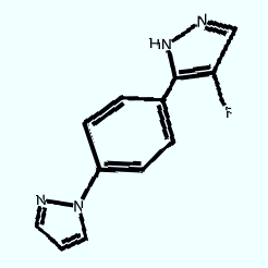 Fc1cn[nH]c1-c1ccc(-n2cccn2)cc1